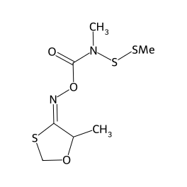 CSSN(C)C(=O)ON=C1SCOC1C